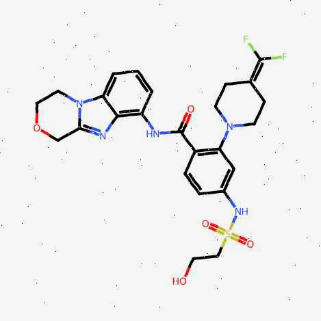 O=C(Nc1cccc2c1nc1n2CCOC1)c1ccc(NS(=O)(=O)CCO)cc1N1CCC(=C(F)F)CC1